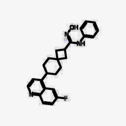 O/N=C(\Nc1ccccc1)C1CC2(CCC(c3ccnc4ccc(F)cc34)CC2)C1